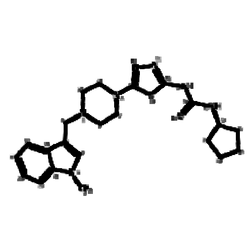 Cn1cc(CN2CCN(c3nnc(NC(=O)NC4CCCC4)s3)CC2)c2ccccc21